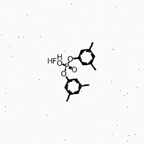 Cc1cc(C)cc(OP(=O)(O)Oc2cc(C)cc(C)c2)c1.F